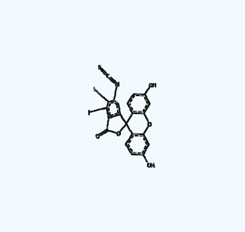 O=C1OC2(c3ccc(O)cc3Oc3cc(O)ccc32)c2cc(N=C=S)c(I)c(I)c21